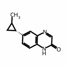 CC1C[C@H]1c1ccc2[nH]c(=O)cnc2c1